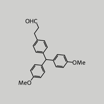 COc1ccc(C(c2ccc(CCC=O)cc2)c2ccc(OC)cc2)cc1